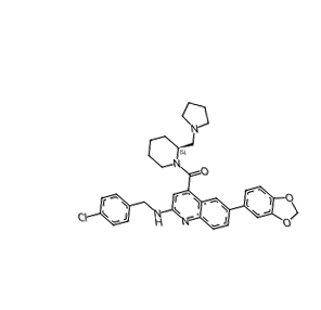 O=C(c1cc(NCc2ccc(Cl)cc2)nc2ccc(-c3ccc4c(c3)OCO4)cc12)N1CCCC[C@H]1CN1CCCC1